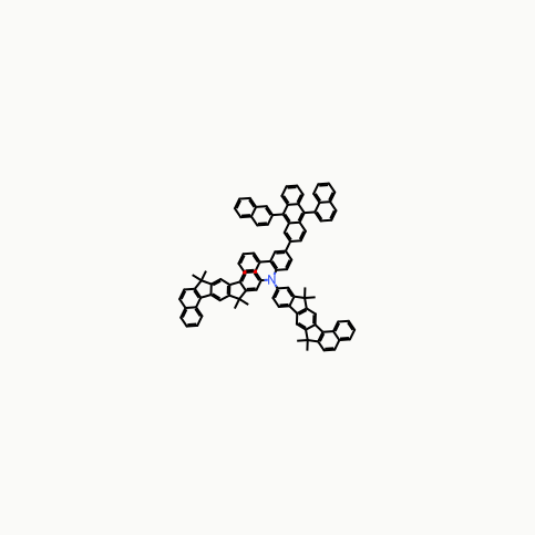 CC1(C)c2cc(N(c3ccc4c(c3)C(C)(C)c3cc5c(cc3-4)C(C)(C)c3ccc4ccccc4c3-5)c3ccc(-c4ccc5c(-c6cccc7ccccc67)c6ccccc6c(-c6ccc7ccccc7c6)c5c4)cc3-c3ccccc3)ccc2-c2cc3c(cc21)-c1c(ccc2ccccc12)C3(C)C